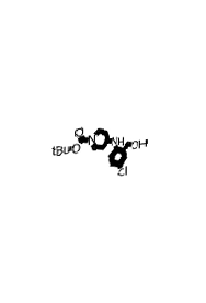 CC(C)(C)OC(=O)N1CCC(Nc2ccc(Cl)cc2CO)CC1